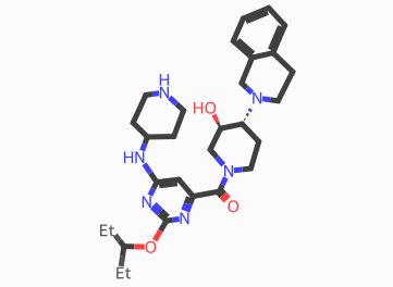 CCC(CC)Oc1nc(NC2CCNCC2)cc(C(=O)N2CC[C@@H](N3CCc4ccccc4C3)[C@H](O)C2)n1